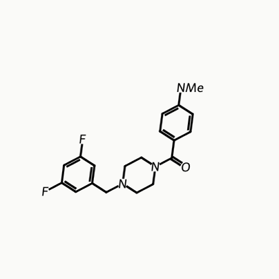 CNc1ccc(C(=O)N2CCN(Cc3cc(F)cc(F)c3)CC2)cc1